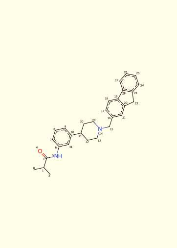 CC(C)C(=O)Nc1cccc(C2CCN(Cc3ccc4c(c3)Cc3ccccc3-4)CC2)c1